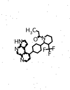 CCC(=O)N1CCCC(C(F)(F)F)C1C1CCC(c2ccnc3cnc4[nH]ccc4c23)CC1